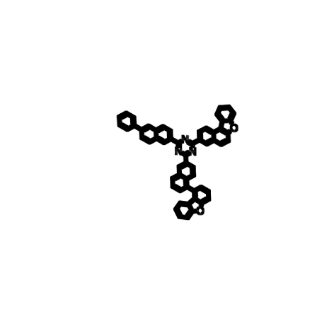 c1ccc(-c2ccc3cc(-c4nc(-c5ccc6c(-c7cccc8oc9ccccc9c78)cccc6c5)nc(-c5ccc6c(ccc7oc8ccccc8c76)c5)n4)ccc3c2)cc1